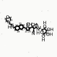 C/C(=C(/C#N)C(=O)NC[C@H]1OC(O)[C@H](O)[C@@H](O)[C@@H]1O)c1ccc(-c2ccc3cc(NCCN4CCOCC4)ccc3c2)n1C